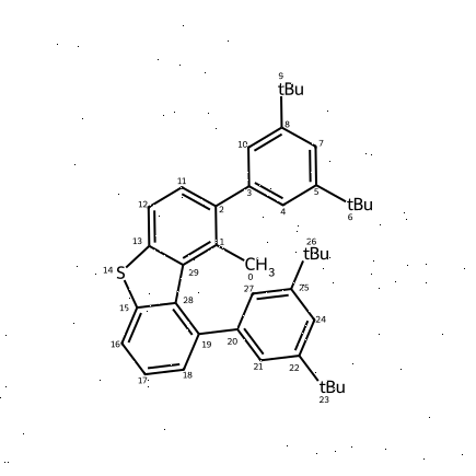 Cc1c(-c2cc(C(C)(C)C)cc(C(C)(C)C)c2)ccc2sc3cccc(-c4cc(C(C)(C)C)cc(C(C)(C)C)c4)c3c12